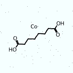 O=C(O)CCCCCCC(=O)O.[Co]